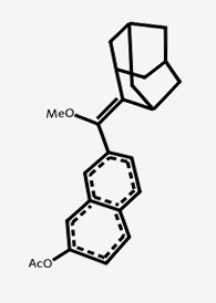 COC(=C1C2CC3CC(C2)CC1C3)c1ccc2ccc(OC(C)=O)cc2c1